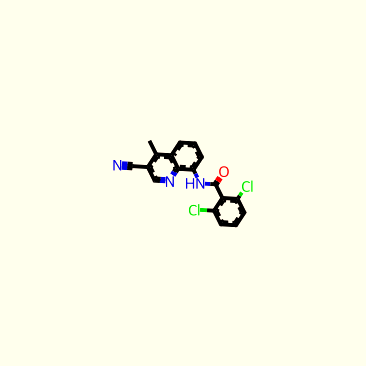 Cc1c(C#N)cnc2c(NC(=O)c3c(Cl)cccc3Cl)cccc12